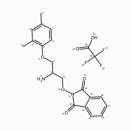 Cc1ccc(OCC(N)CON2C(=O)c3ccccc3C2=O)c(C)c1.O=C(O)C(F)(F)F